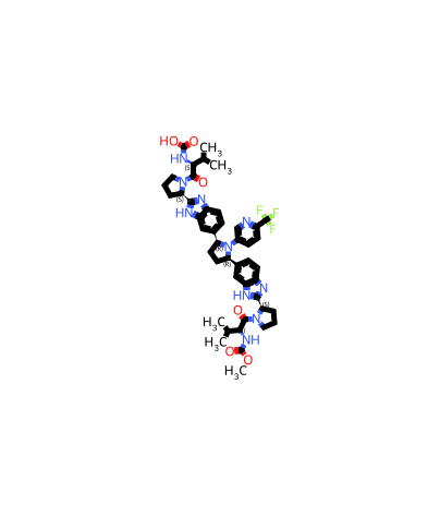 COC(=O)N[C@H](C(=O)N1CCC[C@H]1c1nc2ccc([C@H]3CC[C@H](c4ccc5nc([C@@H]6CCCN6C(=O)[C@@H](NC(=O)O)C(C)C)[nH]c5c4)N3c3ccc(C(F)(F)F)nc3)cc2[nH]1)C(C)C